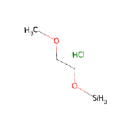 COCCO[SiH3].Cl